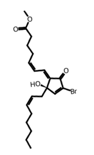 CCCCC/C=C\C[C@@]1(O)C=C(Br)C(=O)/C1=C/C=C\CCCC(=O)OC